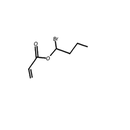 C=CC(=O)OC(Br)CCC